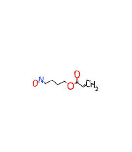 C=CC(=O)OCCCCN=O